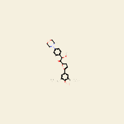 CCOC(C(=O)C1CC=C(c2cc(OC)c(O)c(OC)c2)O1)c1ccc(N2CCOCC2)cc1